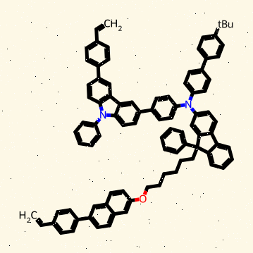 C=Cc1ccc(-c2ccc3cc(OCCCCCCC4(c5ccccc5)c5ccccc5-c5ccc(N(c6ccc(-c7ccc(C(C)(C)C)cc7)cc6)c6ccc(-c7ccc8c(c7)c7cc(-c9ccc(C=C)cc9)ccc7n8-c7ccccc7)cc6)cc54)ccc3c2)cc1